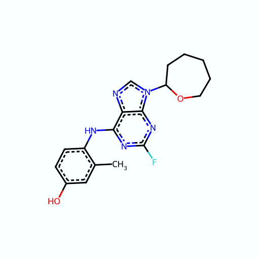 Cc1cc(O)ccc1Nc1nc(F)nc2c1ncn2C1CCCCCO1